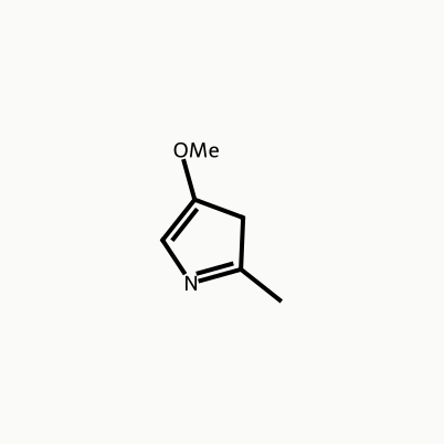 COC1=CN=C(C)C1